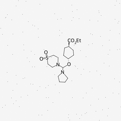 CCOC(=O)[C@H]1CC[C@H](OC(N2CCCC2)N2CCS(=O)(=O)CC2)CC1